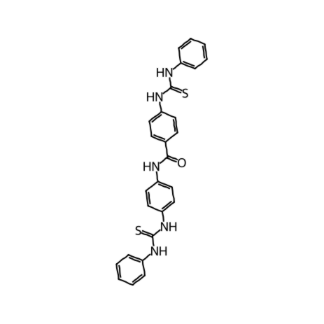 O=C(Nc1ccc(NC(=S)Nc2ccccc2)cc1)c1ccc(NC(=S)Nc2ccccc2)cc1